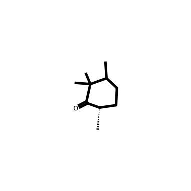 CC1CC[C@H](C)C(=O)C1(C)C